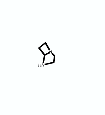 C1CN2CCC2N1